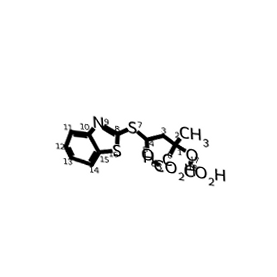 CC(C)(CC(OC(=O)O)Sc1nc2ccccc2s1)OC(=O)O